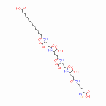 O=C(O)CCCCCCCCCCCCC(=O)N[C@@H](CCC(=O)NC(CCC(=O)N[C@@H](CCC(=O)N[C@@H](CCC(=O)NCCCC[C@H](NP)C(=O)O)C(=O)O)C(=O)O)C(=O)O)C(=O)O